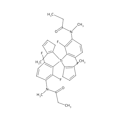 CCC(=O)N(C)c1ccc(F)[c]([Ti]([C]2=C(C)C=CC2)([C]2=C(C)C=CC2)[c]2c(F)ccc(N(C)C(=O)CC)c2F)c1F